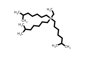 CC[N+](CCCCCC(C)C)(CCCCCC(C)C)CCCCCC(C)C